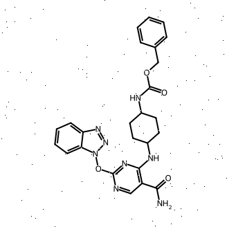 NC(=O)c1cnc(On2nnc3ccccc32)nc1NC1CCC(NC(=O)OCc2ccccc2)CC1